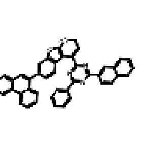 C1=C(c2nc(-c3ccccc3)nc(-c3ccc4ccccc4c3)n2)c2c(oc3cc(-c4cc5ccccc5c5ccccc45)ccc23)NC1